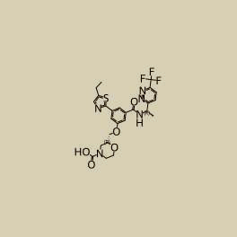 CCc1cnc(-c2cc(OC[C@H]3CN(C(=O)O)CCO3)cc(C(=O)N[C@H](C)c3ccc(C(F)(F)F)nn3)c2)s1